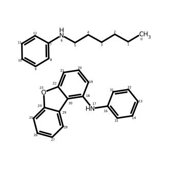 CCCCCCNc1ccccc1.c1ccc(Nc2cccc3oc4ccccc4c23)cc1